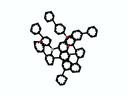 c1ccc(-c2ccc(N(c3ccc(-c4ccccc4)cc3)c3cc(N(c4ccc(-c5ccccc5)cc4)c4c(-c5ccccc5)cccc4-c4ccccc4)cc(N(c4ccc(-c5ccccc5)cc4)c4c(-c5ccccc5)cccc4-c4ccccc4)c3)cc2)cc1